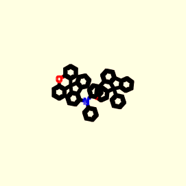 c1ccc(N(c2ccc(-c3cccc4c3C(c3ccccc3)(c3ccccc3)c3ccccc3-4)cc2)c2cccc3c2-c2ccccc2C32c3ccccc3Oc3ccccc32)cc1